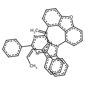 C=Nc1c(/C=C\C)c2ccccc2n1-c1cccc2oc3cccc(-c4nc(-c5ccccc5)nc(-c5ccccc5)n4)c3c12